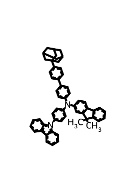 CC1(C)c2ccccc2-c2ccc(N(c3ccc(-c4ccc(C56CC7CC(CC(C7)C5)C6)cc4)cc3)c3ccc(-n4c5ccccc5c5ccccc54)cc3)cc21